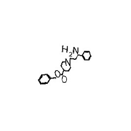 NC(CCN1CCC(C(=O)OCc2ccccc2)CC1)c1ccccc1